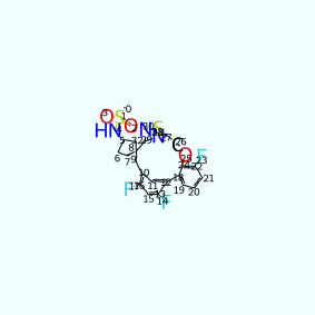 CS(=O)(=O)N[C@H]1CC[C@@]2(Cc3cc(c(F)cc3F)-c3cccc(F)c3OCc3nc2ns3)C1